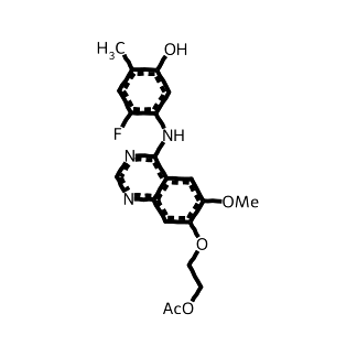 COc1cc2c(Nc3cc(O)c(C)cc3F)ncnc2cc1OCCOC(C)=O